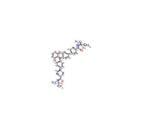 CC1(C)COC(c2ccc(-c3ccc4c(c3)Oc3cccc5c3B4c3ccc(-c4ccc(C6=NC(C)(C)CO6)nc4)cc3O5)cn2)=N1